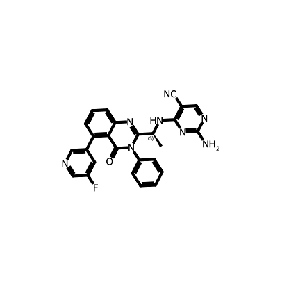 C[C@H](Nc1nc(N)ncc1C#N)c1nc2cccc(-c3cncc(F)c3)c2c(=O)n1-c1ccccc1